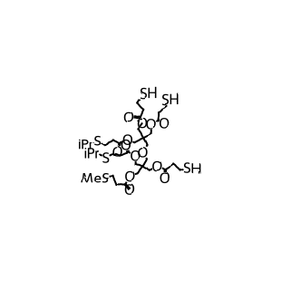 CSCCC(=O)OCC(COCC(COC(=O)CCS)(COC(=O)CCS)COC(=O)CCSC(C)C)(COC(=O)CCS)COC(=O)CCSC(C)C